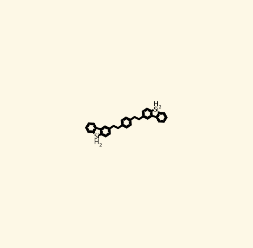 c1ccc2c(c1)[SiH2]c1ccc(CCc3ccc(CCc4ccc5c(c4)-c4ccccc4[SiH2]5)cc3)cc1-2